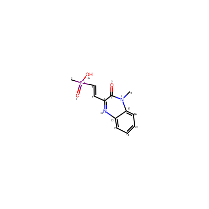 Cn1c(=O)c(/C=C/P(C)(=O)O)nc2ccccc21